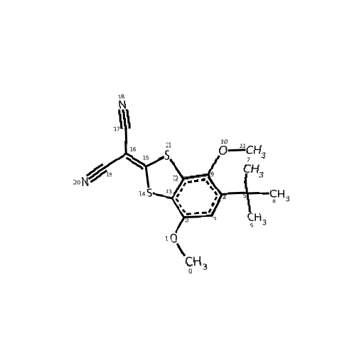 COc1cc(C(C)(C)C)c(OC)c2c1SC(=C(C#N)C#N)S2